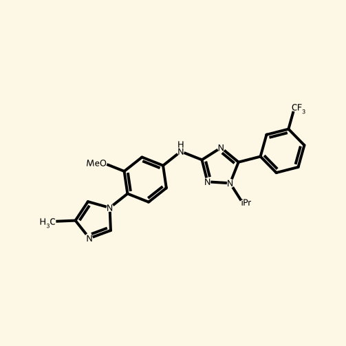 COc1cc(Nc2nc(-c3cccc(C(F)(F)F)c3)n(C(C)C)n2)ccc1-n1cnc(C)c1